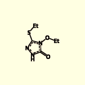 CCOn1c(SCC)n[nH]c1=O